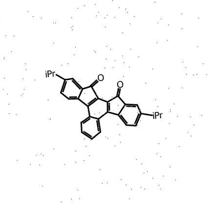 CC(C)c1ccc2c(c1)c(=O)c1c3c(=O)c4cc(C(C)C)ccc4c3c3ccccc3c21